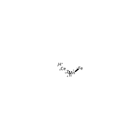 [Ce].[H+].[Mn][Fe].[Ti].[Zr]